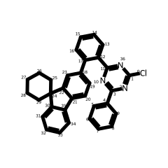 Clc1nc(-c2ccccc2)nc(-c2ccccc2-c2ccc3c(c2)C2(CCCCC2)c2ccccc2-3)n1